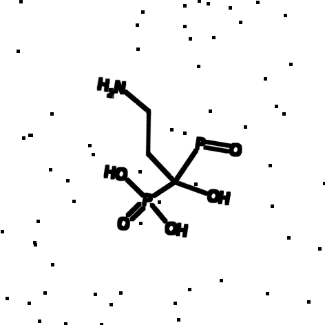 NCCC(O)(P=O)P(=O)(O)O